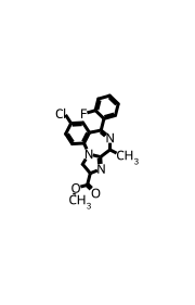 COC(=O)C1CN2C(=N1)C(C)N=C(c1ccccc1F)c1cc(Cl)ccc12